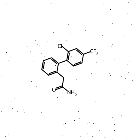 NC(=O)Cc1ccccc1-c1ccc(C(F)(F)F)cc1Cl